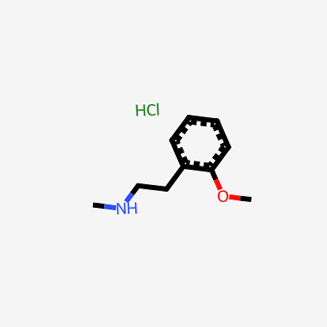 CNCCc1ccccc1OC.Cl